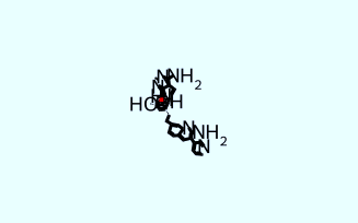 Nc1nc2cc(CC[C@]34C[C@@H](n5ccc6c(N)ncnc65)[C@](O)(C3)[C@@H]4O)ccc2cc1-c1cccnc1